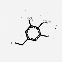 O=C(O)c1c(F)cc(CO)cc1C(Cl)(Cl)Cl